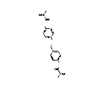 C=C(C)C(=O)Oc1ccc(COc2ccc(OC(=O)C(=C)C)cc2)cc1